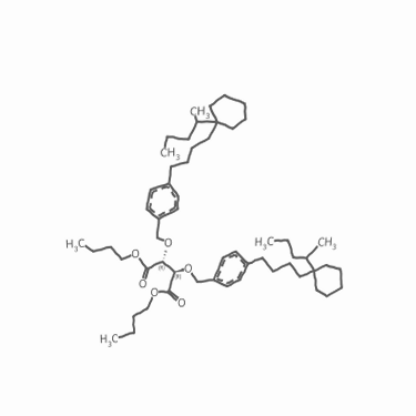 CCCCOC(=O)[C@H](OCc1ccc(CCCCC2(C(C)CCC)CCCCC2)cc1)[C@@H](OCc1ccc(CCCCC2(C(C)CCC)CCCCC2)cc1)C(=O)OCCCC